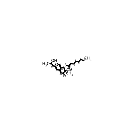 CCCCCCCC(=O)C[C@H]1C2=COC(CC(C)O)=CC2=CC(=O)[C@@]1(C)O